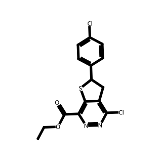 CCOC(=O)c1nnc(Cl)c2c1SC(c1ccc(Cl)cc1)C2